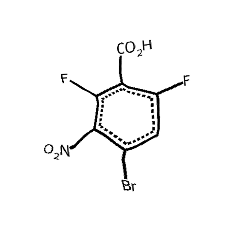 O=C(O)c1c(F)cc(Br)c([N+](=O)[O-])c1F